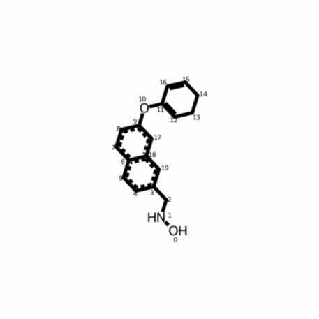 ONCc1ccc2ccc(OC3=CCCC=C3)cc2c1